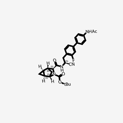 CC(=O)Nc1ccc(-c2ccc(C[C@@H](C#N)NC(=O)[C@@H]3[C@@H]4C[C@@H]([C@H]5C[C@@H]45)N3C(=O)OC(C)(C)C)c(F)c2)cc1